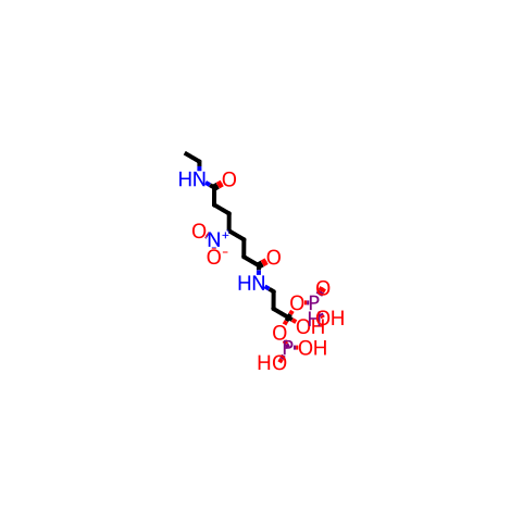 CCNC(=O)CCC(CCC(=O)NCCC(O)(OP(O)O)O[PH](=O)O)[N+](=O)[O-]